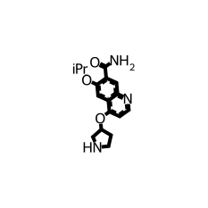 CC(C)Oc1cc2c(OC3CCNC3)ccnc2cc1C(N)=O